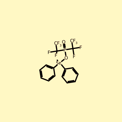 C[Se](OP(=O)(C(F)(F)C(F)(F)F)C(F)(F)C(F)(F)F)(c1ccccc1)c1ccccc1